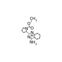 CCOC(=O)n1cccc1C1N=C(N)c2ccccc2N1